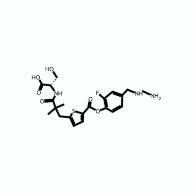 CC(C)(Cc1ccc(C(=O)Oc2ccc(CNCN)cc2F)s1)C(=O)N[C@@H](CO)C(=O)O